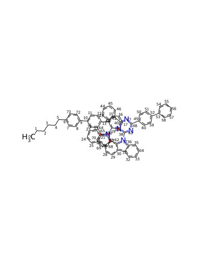 CCCCCCc1ccc(-c2ccc(-c3ccccc3-n3c4ccccc4c4ccc5c6ccccc6n(-c6nc(-c7ccccc7)nc(-c7ccc(-c8ccccc8)cc7)n6)c5c43)c(-c3ccccc3)c2)cc1